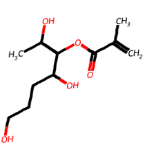 C=C(C)C(=O)OC(C(C)O)C(O)CCCO